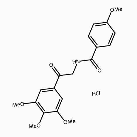 COc1ccc(C(=O)NCC(=O)c2cc(OC)c(OC)c(OC)c2)cc1.Cl